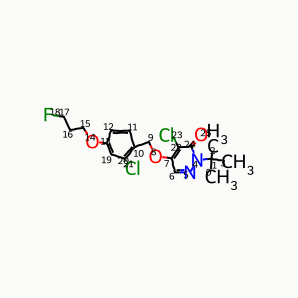 CC(C)(C)n1ncc(OCc2ccc(OCCCF)cc2Cl)c(Cl)c1=O